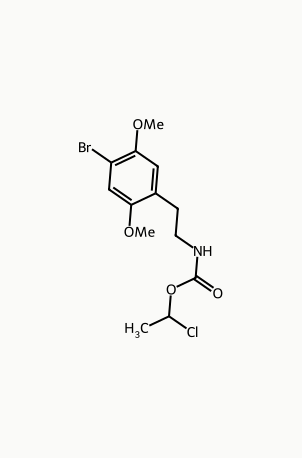 COc1cc(CCNC(=O)OC(C)Cl)c(OC)cc1Br